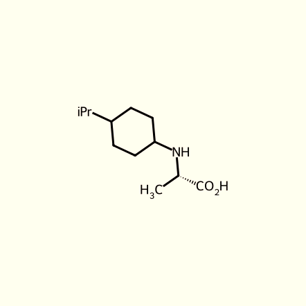 CC(C)C1CCC(N[C@@H](C)C(=O)O)CC1